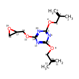 C=C(C)COc1nc(OCC(=C)C)nc(OCC2CO2)n1